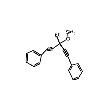 CCC(C#Cc1ccccc1)(C#Cc1ccccc1)O[SiH3]